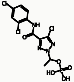 CC(OP(=O)(O)O)n1nc(Cl)c(C(=O)Nc2ccc(Cl)cc2Cl)n1